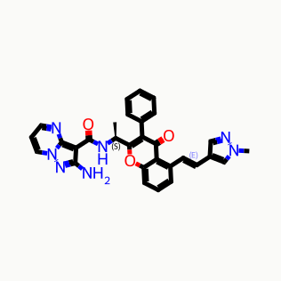 C[C@H](NC(=O)c1c(N)nn2cccnc12)c1oc2cccc(/C=C/c3cnn(C)c3)c2c(=O)c1-c1ccccc1